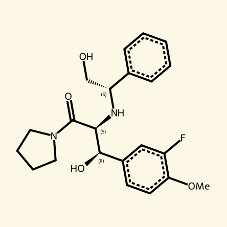 COc1ccc([C@@H](O)[C@H](N[C@H](CO)c2ccccc2)C(=O)N2CCCC2)cc1F